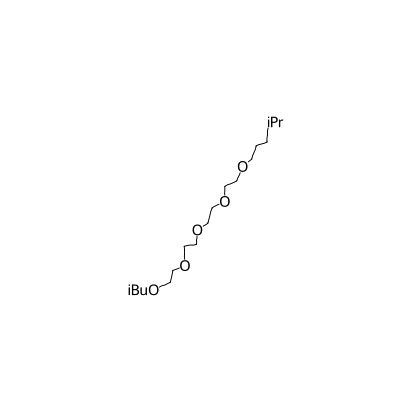 CC(C)CCCOCCOCCOCCOCCOCC(C)C